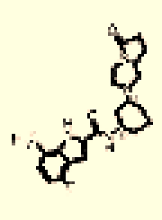 Cc1ccc(F)c2c1NC(C(=O)N[C@@H]1CCC[C@@H](N3CCN4C(=O)CCC4C3)C1)C2